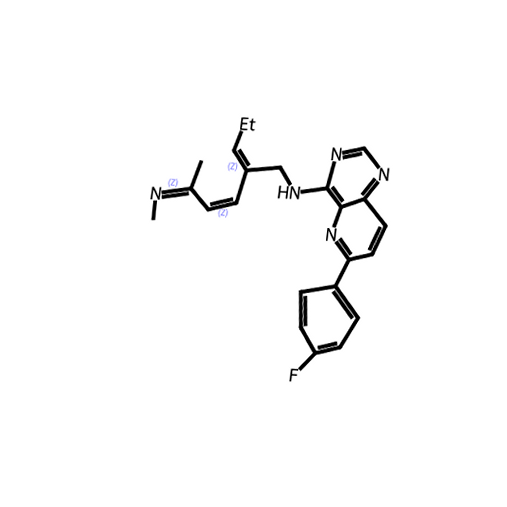 CC/C=C(/C=C\C(C)=N/C)CNc1ncnc2ccc(-c3ccc(F)cc3)nc12